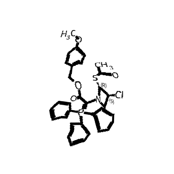 COc1ccc(COC(=O)C(N2C[C@H](Cl)[C@H]2SC(C)=O)=P(c2ccccc2)(c2ccccc2)c2ccccc2)cc1